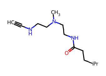 C#CNCCN(C)CCNC(=O)CCC(C)C